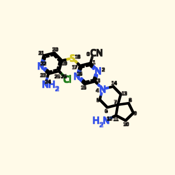 N#Cc1nc(N2CCC3(CCCC3N)CC2)cnc1Sc1ccnc(N)c1Cl